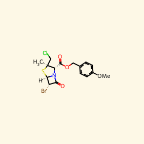 COc1ccc(COC(=O)[C@@H]2N3C(=O)[C@H](Br)[C@H]3S[C@@]2(C)CCl)cc1